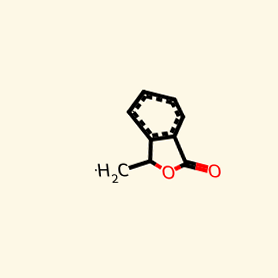 [CH2]C1OC(=O)c2ccccc21